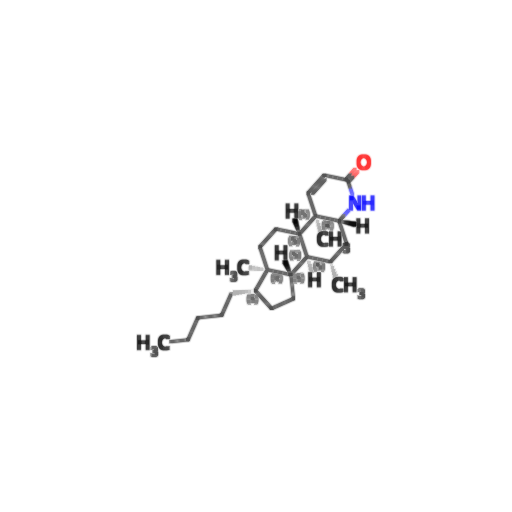 CCCCC[C@H]1CC[C@H]2[C@@H]3[C@@H](C)C[C@H]4NC(=O)C=C[C@]4(C)[C@H]3CC[C@]12C